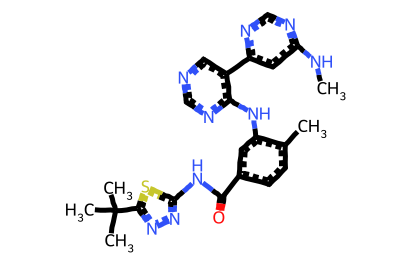 CNc1cc(-c2cncnc2Nc2cc(C(=O)Nc3nnc(C(C)(C)C)s3)ccc2C)ncn1